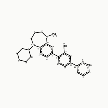 CN1CCCN(C2CCCCC2)c2nnc(-c3ccc(-c4cccnn4)cc3O)cc21